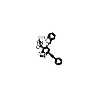 CCOC(=O)CNC(=O)c1c(OCc2ccccc2)cc(C#Cc2ccccc2)n2ncnc12